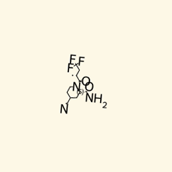 N#CC1CCN(C(=O)[CH]CC(F)(F)F)[C@H](C(N)=O)C1